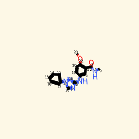 CNC(=O)c1cc(Nc2ncn(-c3ccccc3)n2)ccc1OC